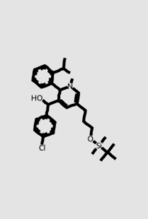 CC(C)c1ccccc1C1C(C(O)c2ccc(Cl)cc2)=CC(CCCO[Si](C)(C)C(C)(C)C)=CN1C